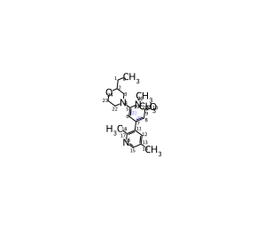 CCC1CN(/C(=C/C(=C\C=O)c2cc(C)cnc2C)N(C)C)CCO1